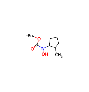 CC1CCCC1N(O)C(=O)OC(C)(C)C